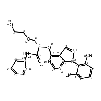 N#Cc1cccc(Cl)c1-n1ncc2c(O[C@@H](COCCO)C(=O)Nc3ccccn3)ncnc21